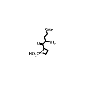 CSCCC(N)C(=O)C1CCN1C(=O)O